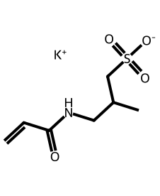 C=CC(=O)NCC(C)CS(=O)(=O)[O-].[K+]